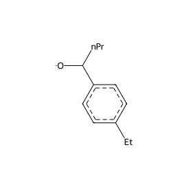 CCCC([O])c1ccc(CC)cc1